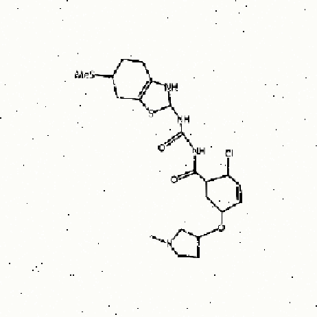 CSC1CCC2=C(C1)SC(NC(=O)NC(=O)C1CC(OC3CCN(C)C3)C=CC1Cl)N2